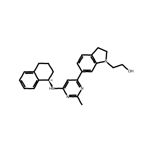 Cc1nc(N[C@@H]2CCCc3ccccc32)cc(-c2ccc3c(c2)N(CCO)CC3)n1